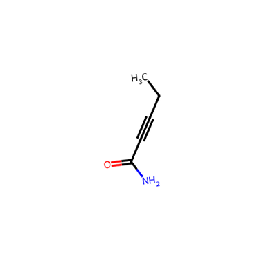 CCC#CC(N)=O